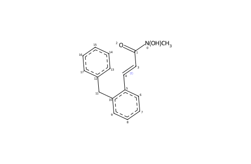 CN(O)C(=O)/C=C/c1ccccc1Cc1ccccc1